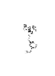 CCO[Si](CCCc1cccc(CCl)c1)(OCC)OCC